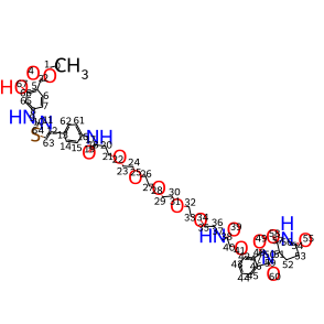 CCOC(=O)c1ccc(Nc2nc(-c3ccc(NC(=O)CCOCCOCCOCCOCCOCCNC(=O)COc4cccc5c4C(=O)N(C4CCC(=O)NC4=O)C5=O)cc3)cs2)cc1O